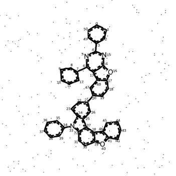 c1ccc(-c2nc(-c3ccccc3)c3c(n2)oc2ccc(-c4ccc5c(c4)c4c6c(ccc4n5-c4ccccc4)oc4ccccc46)cc23)cc1